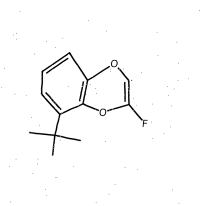 CC(C)(C)c1cccc2c1OC(F)=[C]O2